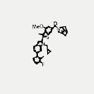 COc1cc(C(=O)N2CC3CC4CC2[C@H]43)cc2sc(-c3cc4ccc(-c5cccc(F)c5C)cc4n3CC3CC3)c(C)c12